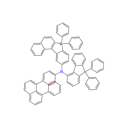 c1ccc(-c2cccc3cccc(-c4ccc(N(c5ccc6c(c5)-c5c(ccc7ccccc57)[Si]6(c5ccccc5)c5ccccc5)c5cccc6c5-c5ccccc5C6(c5ccccc5)c5ccccc5)cc4)c23)cc1